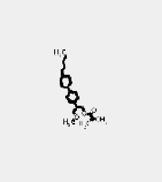 C=C(C)C(=O)OCC(COC)c1ccc(C2CCC(CCCCC)CC2)cc1